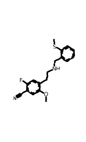 COc1cc(C#N)c(F)cc1CCNCc1ccccc1SC